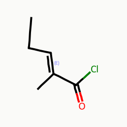 CC/C=C(\C)C(=O)Cl